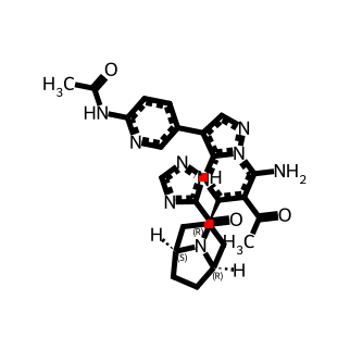 CC(=O)Nc1ccc(-c2cnn3c(N)c(C(C)=O)c([C@H]4C[C@H]5CC[C@@H](C4)N5C(=O)c4ncn[nH]4)nc23)cn1